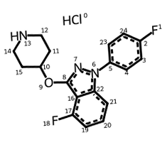 Cl.Fc1ccc(-n2nc(OC3CCNCC3)c3c(F)cccc32)cc1